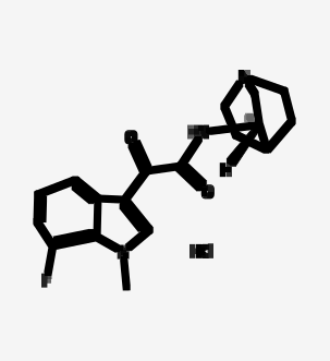 Cl.Cn1cc(C(=O)C(=O)N[C@@H]2CN3CCC2CC3)c2cccc(F)c21